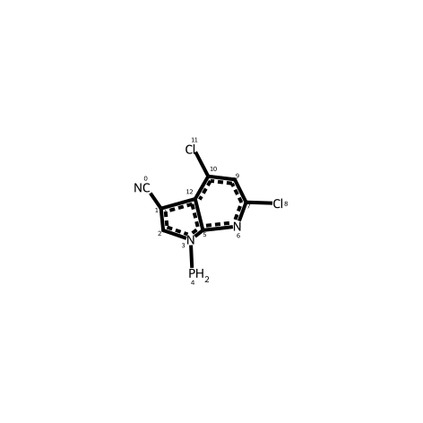 N#Cc1cn(P)c2nc(Cl)cc(Cl)c12